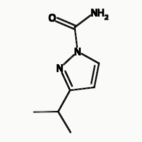 CC(C)c1ccn(C(N)=O)n1